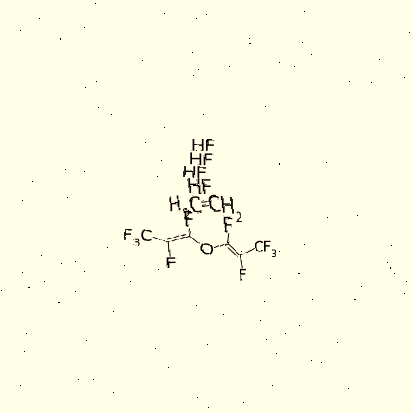 C=C.F.F.F.F.FC(OC(F)=C(F)C(F)(F)F)=C(F)C(F)(F)F